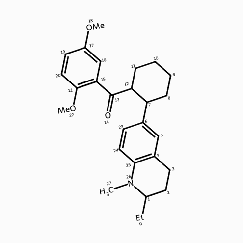 CCC1CCc2cc(C3CCCCC3C(=O)c3cc(OC)ccc3OC)ccc2N1C